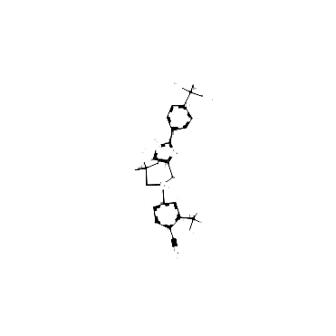 N#Cc1ccc(N(Cc2csc(-c3ccc(C(F)(F)F)cc3)n2)CC(F)(F)F)cc1C(F)(F)F